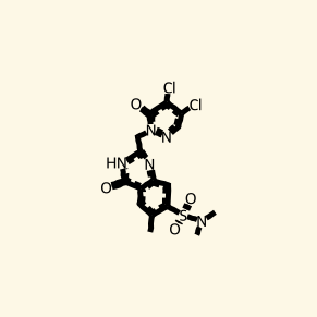 Cc1cc2c(=O)[nH]c(Cn3ncc(Cl)c(Cl)c3=O)nc2cc1S(=O)(=O)N(C)C